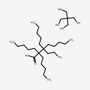 CCCCCC(CCC)(CCCCC)C(CCCCC)(CCCCC)C(=O)O.OCC(CO)(CO)CO